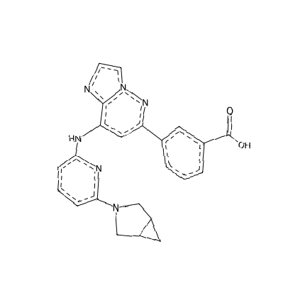 O=C(O)c1cccc(-c2cc(Nc3cccc(N4CC5CC5C4)n3)c3nccn3n2)c1